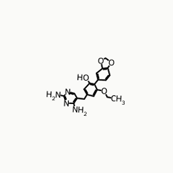 CCOc1cc(Cc2cnc(N)nc2N)cc(O)c1-c1ccc2c(c1)OCO2